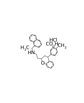 Cc1ccc(C2CC(CCN[C@H](C)c3cccc4ccccc34)Oc3ccccc32)cc1C(=O)O.Cl